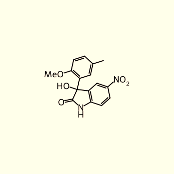 COc1ccc(C)cc1C1(O)C(=O)Nc2ccc([N+](=O)[O-])cc21